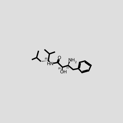 CC(C)C[C@@H](NC(=O)[C@H](O)[C@@H](N)Cc1ccccc1)C(C)C